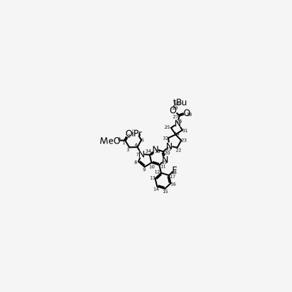 COC(=O)CC(CC(C)C)n1ccc2c(-c3ccccc3F)nc(N3CCC4(CN(C(=O)OC(C)(C)C)C4)C3)nc21